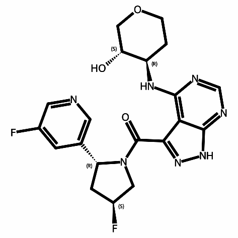 O=C(c1n[nH]c2ncnc(N[C@@H]3CCOC[C@H]3O)c12)N1C[C@@H](F)C[C@@H]1c1cncc(F)c1